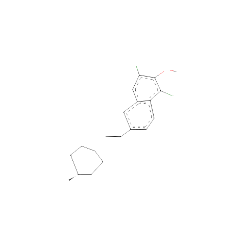 CCC[C@H]1CC[C@H](CCc2ccc3c(F)c(OC(F)(F)F)c(F)cc3c2)CC1